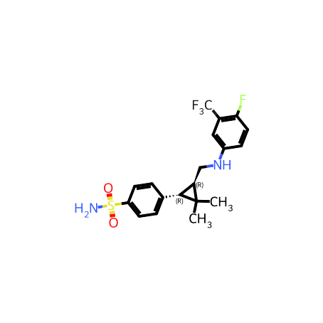 CC1(C)[C@H](CNc2ccc(F)c(C(F)(F)F)c2)[C@H]1c1ccc(S(N)(=O)=O)cc1